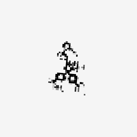 C[C@H](CC(c1ccc(C(N)=O)cc1)(c1ccc(C(N)=O)cc1)c1nn[nH]n1)NCC(=O)N1CCC[C@H]1C#N